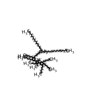 CCCCCCCCCCCCCCCC[CH2][Ni][CH2]CCCCCCCCCCCCCCCC.CCCCCCc1cc(C2=C(CC)C(CCCC)=C(c3cc(CCCCCC)c(CCCCCC)c(CCCCCC)c3)[N+]2=[N-])cc(CCCCCC)c1CCCCCC